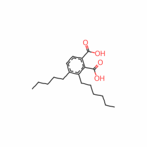 CCCCCCc1c(CCCCC)ccc(C(=O)O)c1C(=O)O